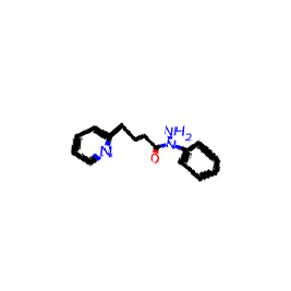 NN(C(=O)CCCc1ccccn1)c1ccccc1